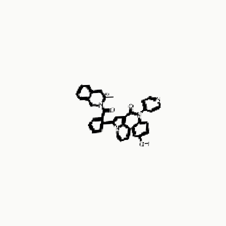 C[C@@H]1Cc2ccccc2CN1C(=O)c1ccccc1-c1cc(C(=O)N(c2ccncc2)c2ccc(O)cc2)c2ccccn12